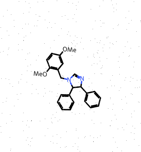 COc1ccc(OC)c(CN2C=NC(c3ccccc3)C2c2ccccc2)c1